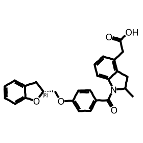 CC1Cc2c(CC(=O)O)cccc2N1C(=O)c1ccc(OC[C@H]2Cc3ccccc3O2)cc1